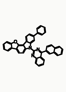 c1ccc(-c2ccc3c4c5oc6ccccc6c5ccc4n(-c4nc(-c5ccc6ccccc6c5)c5ccccc5n4)c3c2)cc1